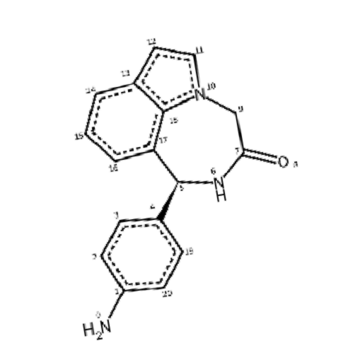 Nc1ccc([C@@H]2NC(=O)Cn3ccc4cccc2c43)cc1